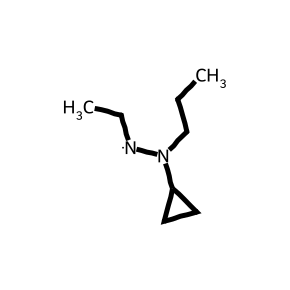 CCCN([N]CC)C1CC1